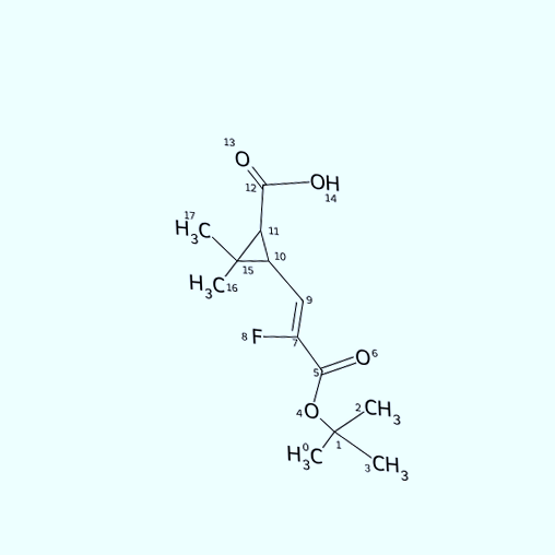 CC(C)(C)OC(=O)C(F)=CC1C(C(=O)O)C1(C)C